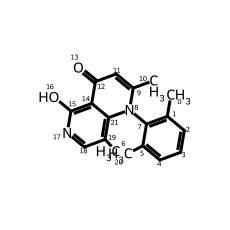 Cc1cccc(C)c1-n1c(C)cc(=O)c2c(O)ncc(C)c21